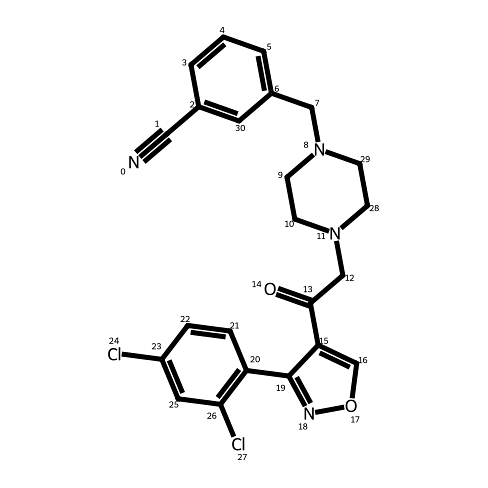 N#Cc1cccc(CN2CCN(CC(=O)c3conc3-c3ccc(Cl)cc3Cl)CC2)c1